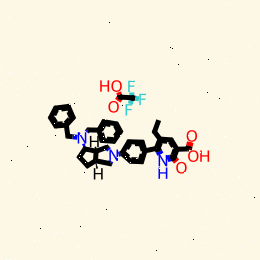 CCc1cc(C(=O)O)c(=O)[nH]c1-c1ccc(N2C[C@H]3CC[C@@H](N(Cc4ccccc4)Cc4ccccc4)[C@H]3C2)cc1.O=C(O)C(F)(F)F